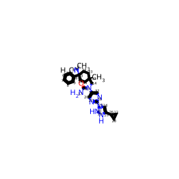 CN(C)[C@]1(c2ccccc2)CC[C@@](C)(CN(C(N)=O)c2cnc(N3C=C(C4CC4)NN3)nc2)CC1